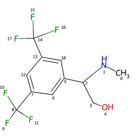 CNC(CO)c1cc(C(F)(F)F)cc(C(F)(F)F)c1